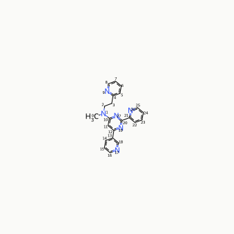 CN(CCc1ccccn1)c1cc(-c2cccnc2)nc(-c2ccccn2)n1